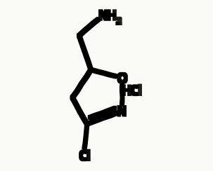 Cl.NCC1CC(Cl)=NO1